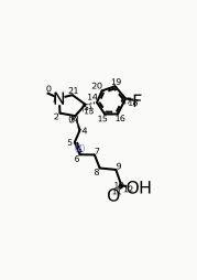 CN1C[C@H](C/C=C\CCCC(=O)O)[C@@H](c2ccc(F)cc2)C1